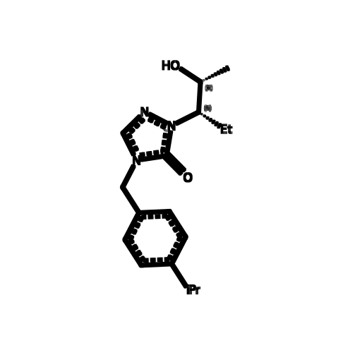 CC[C@@H]([C@@H](C)O)n1ncn(Cc2ccc(C(C)C)cc2)c1=O